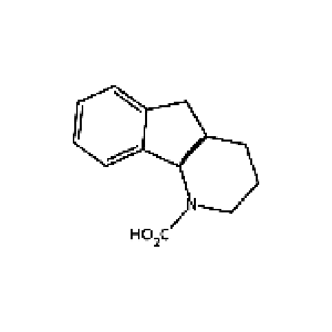 O=C(O)N1CCCC23CCCCC12c1ccccc1C3